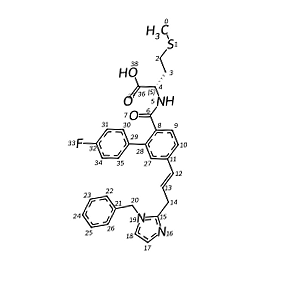 CSCC[C@H](NC(=O)c1ccc(C=CCc2nccn2Cc2ccccc2)cc1-c1ccc(F)cc1)C(=O)O